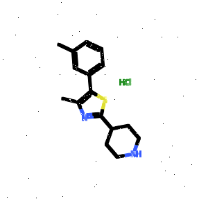 Cc1cccc(-c2sc(C3CCNCC3)nc2C)c1.Cl